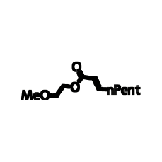 CCCCCC=CC(=O)OCCOC